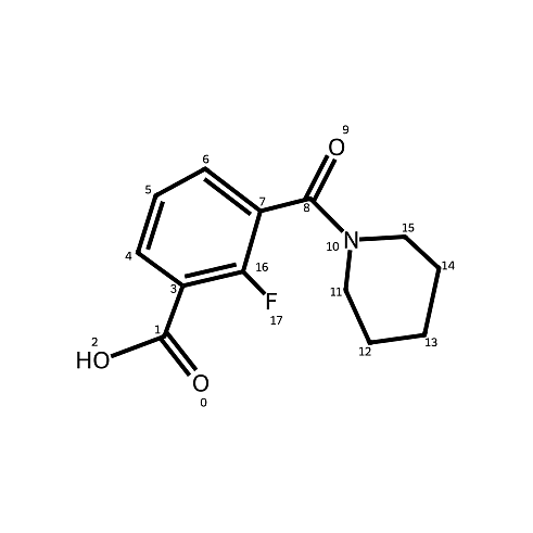 O=C(O)c1cccc(C(=O)N2CCCCC2)c1F